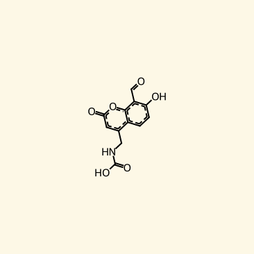 O=Cc1c(O)ccc2c(CNC(=O)O)cc(=O)oc12